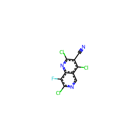 N#Cc1c(Cl)nc2c(F)c(Cl)ncc2c1Cl